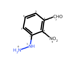 NNc1cccc(C=O)c1[N+](=O)[O-]